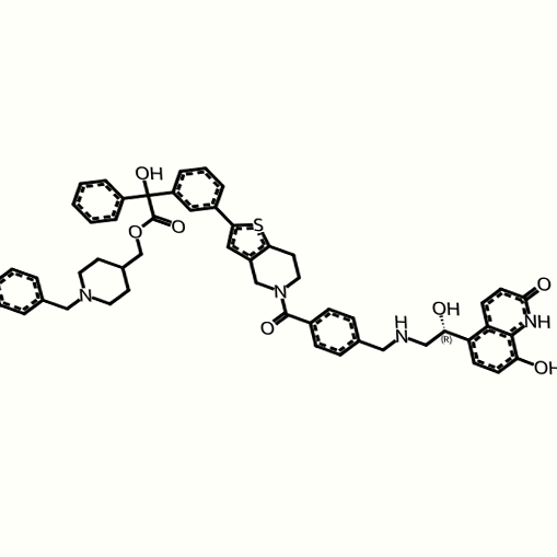 O=C(c1ccc(CNC[C@H](O)c2ccc(O)c3[nH]c(=O)ccc23)cc1)N1CCc2sc(-c3cccc(C(O)(C(=O)OCC4CCN(Cc5ccccc5)CC4)c4ccccc4)c3)cc2C1